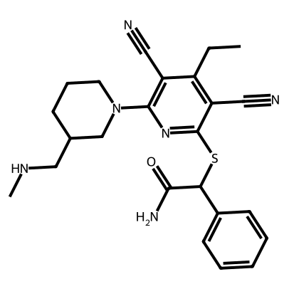 CCc1c(C#N)c(SC(C(N)=O)c2ccccc2)nc(N2CCCC(CNC)C2)c1C#N